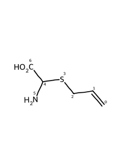 C=CCSC(N)C(=O)O